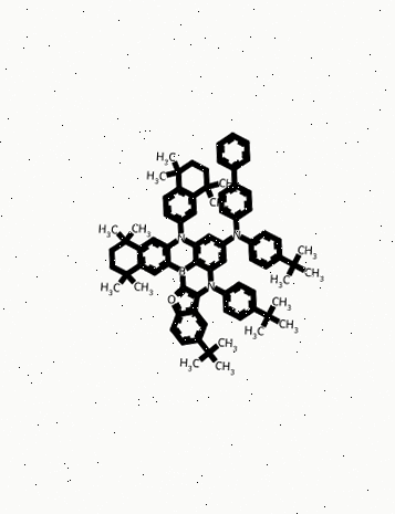 CC(C)(C)c1ccc(N(c2ccc(-c3ccccc3)cc2)c2cc3c4c(c2)N(c2ccc(C(C)(C)C)cc2)c2c(oc5ccc(C(C)(C)C)cc25)B4c2cc4c(cc2N3c2ccc3c(c2)C(C)(C)CCC3(C)C)C(C)(C)CCC4(C)C)cc1